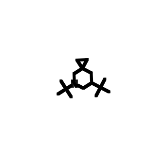 CC(C)(C)C1CN(C(C)(C)C)CC2(CC2)C1